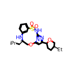 CC[C@H]1CCC(c2cc3nc(n2)NS(=O)(=O)c2cccc(c2)N[C@H](CC(C)C)CO3)OC1